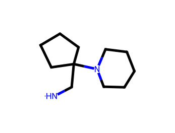 [NH]CC1(N2CCCCC2)CCCC1